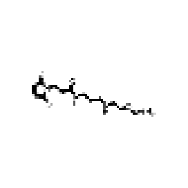 BCOCCNCCCNC(=O)CCN1C(=O)C=CC1=O